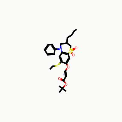 CCCCC1CN(c2ccccc2)c2cc(SCC)c(O/C=C/C(=O)OC(C)(C)C)cc2S(=O)(=O)C1